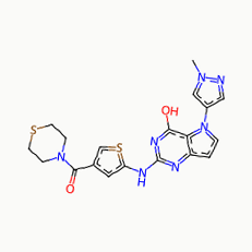 Cn1cc(-n2ccc3nc(Nc4cc(C(=O)N5CCSCC5)cs4)nc(O)c32)cn1